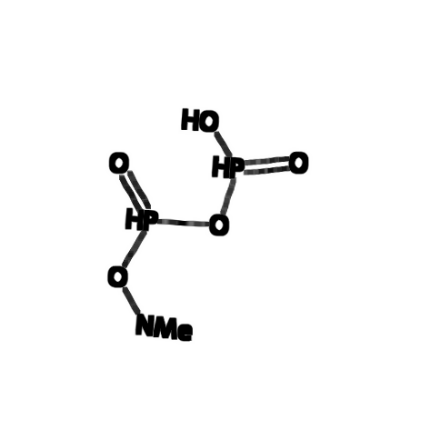 CNO[PH](=O)O[PH](=O)O